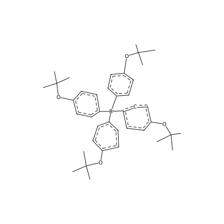 CC(C)(C)Oc1ccc([B-](c2ccc(OC(C)(C)C)cc2)(c2ccc(OC(C)(C)C)cc2)c2ccc(OC(C)(C)C)cc2)cc1